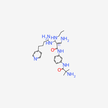 CCCNC(NC(N)CCCc1ccncc1)/C(=C\N)C(=O)Nc1cccc(NC(=O)C(C)(C)N)c1